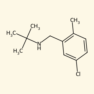 Cc1ccc(Cl)cc1CNC(C)(C)C